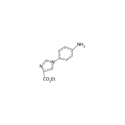 CCOC(=O)c1cn(-c2ccc(N)cc2)cn1